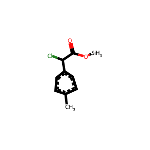 Cc1ccc(C(Cl)C(=O)O[SiH3])cc1